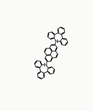 c1ccc2c(c1)-c1ccccc1N(c1cc3ccc4cc(N5c6ccccc6-c6ccccc6-c6ccccc65)cc5ccc(c1)c3c45)c1ccccc1-2